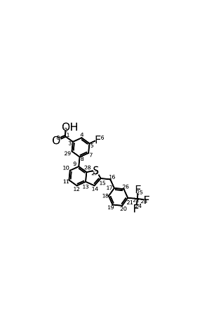 O=C(O)c1cc(F)cc(-c2cccc3cc(Cc4cccc(C(F)(F)F)c4)sc23)c1